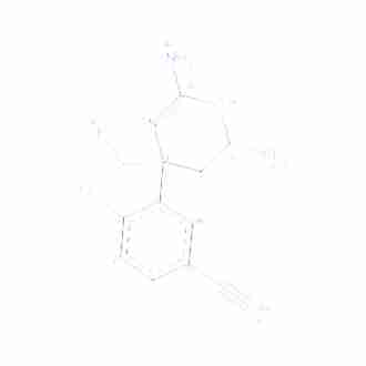 C#Cc1ccc(F)c([C@]2(CF)C[C@@H](C(F)(F)F)OC(N)=N2)c1